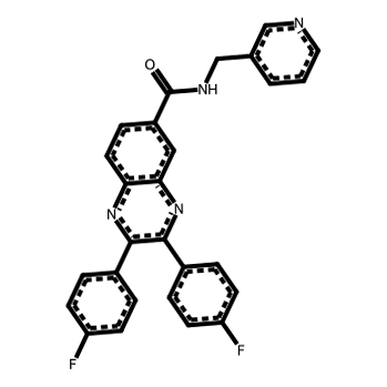 O=C(NCc1cccnc1)c1ccc2nc(-c3ccc(F)cc3)c(-c3ccc(F)cc3)nc2c1